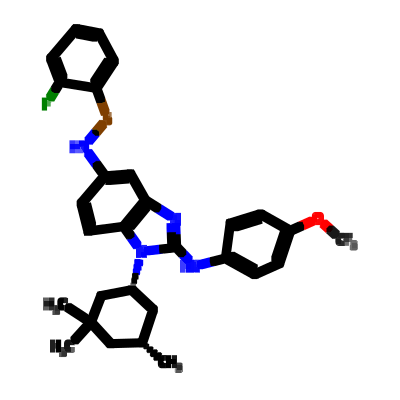 C[C@H]1C[C@@H](n2c(Nc3ccc(OC(F)(F)F)cc3)nc3cc(NSc4ccccc4F)ccc32)CC(C)(C)C1